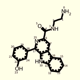 NCCNC(=O)c1cc2c([nH]c3ccccc32)c(-c2cccc(O)c2)n1